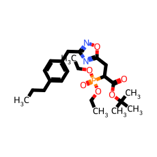 CCCc1ccc(Cc2noc(CC(C(=O)OC(C)(C)C)P(=O)(OCC)OCC)n2)cc1